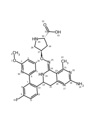 COc1cccc(-c2cc(F)ccc2C2Cc3nc(N)nc(C)c3C(=NO[C@H]3CN[C@H](C(=O)O)C3)N2)n1